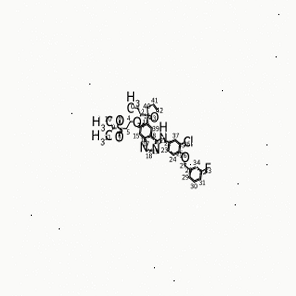 CCC(OCCS(=O)(=O)C(C)C)C1(c2ccc3ncnc(Nc4ccc(OCc5cccc(F)c5)c(Cl)c4)c3c2)CC=CO1